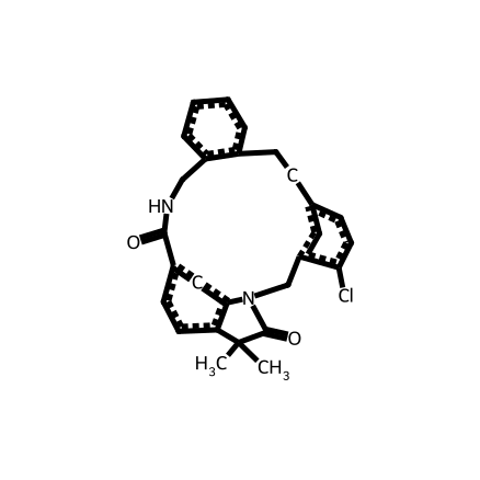 CC1(C)C(=O)N2Cc3cc(ccc3Cl)CCc3ccccc3CNC(=O)c3ccc1c2c3